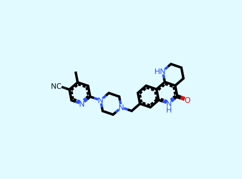 Cc1cc(N2CCN(Cc3ccc4c5c(c(=O)[nH]c4c3)CCCN5)CC2)ncc1C#N